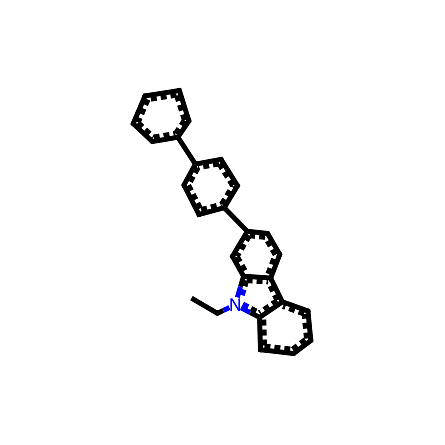 CCn1c2ccccc2c2ccc(-c3ccc(-c4ccccc4)cc3)cc21